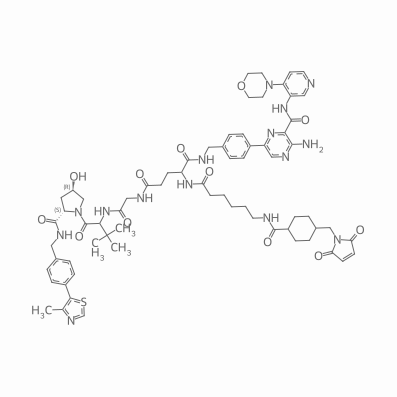 Cc1ncsc1-c1ccc(CNC(=O)[C@@H]2C[C@@H](O)CN2C(=O)C(NC(=O)CNC(=O)CCC(NC(=O)CCCCCNC(=O)C2CCC(CN3C(=O)C=CC3=O)CC2)C(=O)NCc2ccc(-c3cnc(N)c(C(=O)Nc4cnccc4N4CCOCC4)n3)cc2)C(C)(C)C)cc1